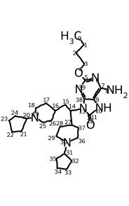 CCCCOc1nc(N)c2[nH]c(=O)n(C(CC3CCN(C4CCCC4)CC3)C3CCN(C4CCCC4)CC3)c2n1